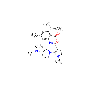 Cc1cc(C(C)C)c2c(=O)oc(-c3ccn(C)c3N3CC[C@H](N(C)C)C3)nc2c1